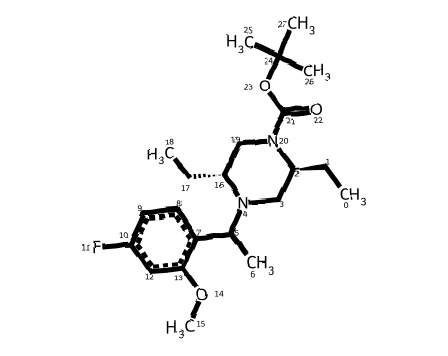 CC[C@H]1CN(C(C)c2ccc(F)cc2OC)[C@H](CC)CN1C(=O)OC(C)(C)C